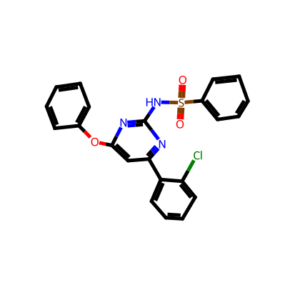 O=S(=O)(Nc1nc(Oc2ccccc2)cc(-c2ccccc2Cl)n1)c1ccccc1